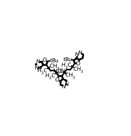 CC(C)(C)c1oc2ncncc2c1C(C)(C)CCC(C)(C)c1oc2cnncc2c1C(C)(C)CCC(C)(C)c1oc2ccnnc2c1C(C)(C)C